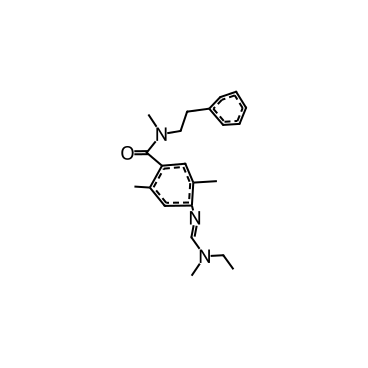 CCN(C)/C=N/c1cc(C)c(C(=O)N(C)CCc2ccccc2)cc1C